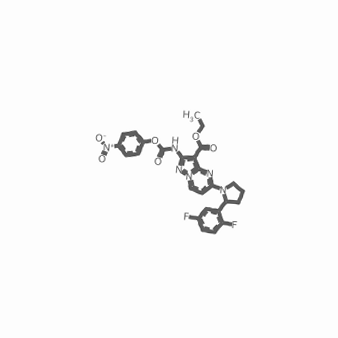 CCOC(=O)c1c(NC(=O)Oc2ccc([N+](=O)[O-])cc2)nn2ccc(N3CCCC3c3cc(F)ccc3F)nc12